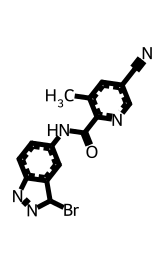 Cc1cc(C#N)cnc1C(=O)Nc1ccc2c(c1)C(Br)N=N2